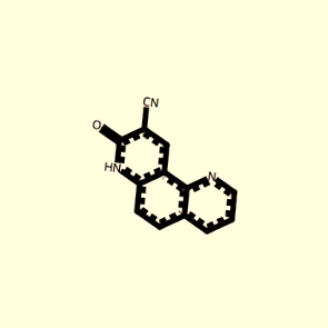 N#Cc1cc2c(ccc3cccnc32)[nH]c1=O